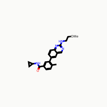 COCCNc1ncc2cc(-c3cc(C(=O)NC4CC4)ccc3C)ccc2n1